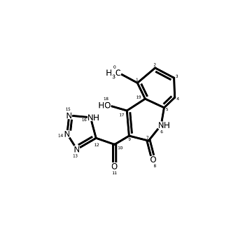 Cc1cccc2[nH]c(=O)c(C(=O)c3nnn[nH]3)c(O)c12